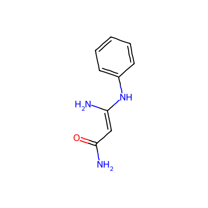 NC(=O)C=C(N)Nc1ccccc1